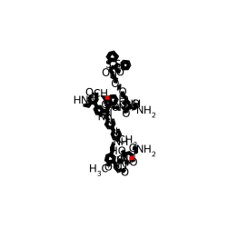 COc1ccc(C#CCNC2(C)CCN(C3CCN(c4nc([C@@](COCNC(=O)[C@H](CC(N)=O)NC(=O)CCOCCOCCN5C(=O)C(Sc6ccccc6)=C(Sc6ccccc6)C5=O)(OC5CC5)c5ccccc5)c5cc(-c6cn(C)c(=O)c7[nH]ccc67)ccc5n4)CC3)CC2)cc1N1CCC(=O)N(CNC(=O)[C@@H](CC(N)=O)CC(=O)O)C1=O